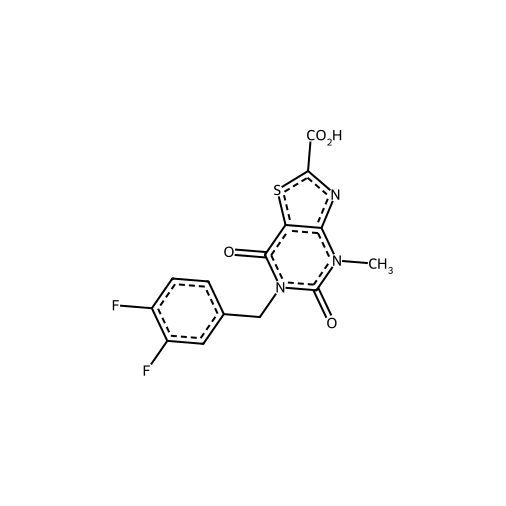 Cn1c(=O)n(Cc2ccc(F)c(F)c2)c(=O)c2sc(C(=O)O)nc21